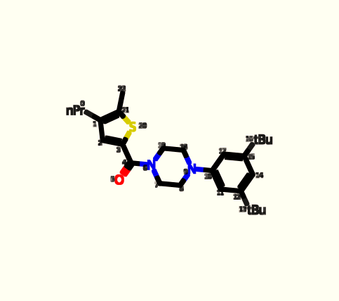 CCCc1cc(C(=O)N2CCN(c3cc(C(C)(C)C)cc(C(C)(C)C)c3)CC2)sc1C